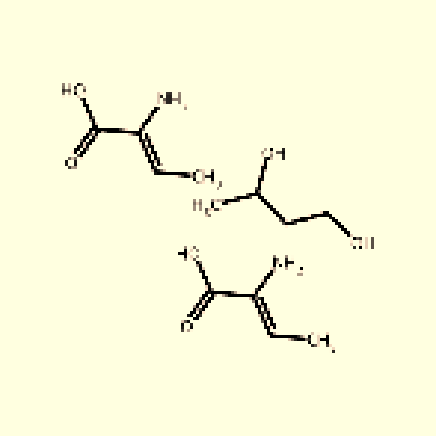 CC(O)CCO.CC=C(N)C(=O)O.CC=C(N)C(=O)O